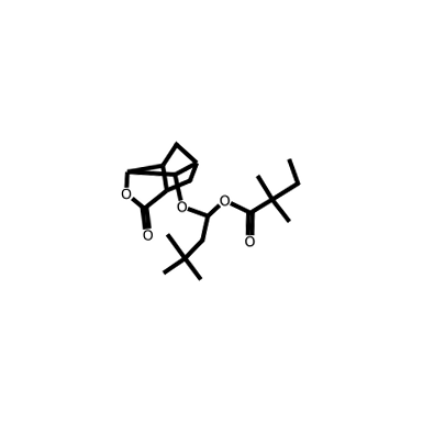 CCC(C)(C)C(=O)OC(CC(C)(C)C)OC1C2CC3C(=O)OC1C3C2